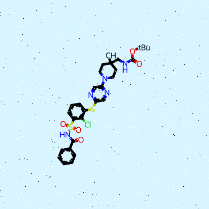 CC1(CNC(=O)OC(C)(C)C)CCN(c2cnc(Sc3cccc(S(=O)(=O)NC(=O)c4ccccc4)c3Cl)cn2)CC1